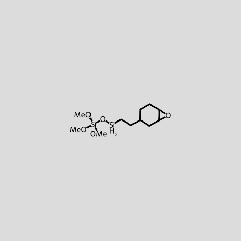 CO[Si](OC)(OC)O[SiH2]CCC1CCC2OC2C1